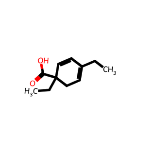 CCC1=CCC(CC)(C(=O)O)C=C1